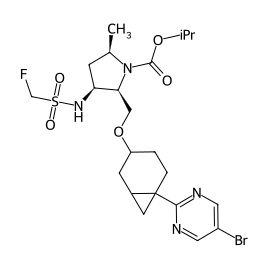 CC(C)OC(=O)N1[C@H](C)C[C@H](NS(=O)(=O)CF)[C@@H]1COC1CCC2(c3ncc(Br)cn3)CC2C1